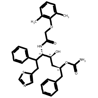 Cc1cccc(C)c1OCC(=O)N[C@@H](C(Cc1cncs1)c1ccccc1)[C@@H](O)C[C@H](Cc1ccccc1)OC(N)=O